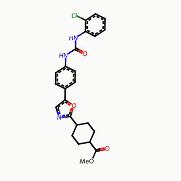 COC(=O)C1CCC(c2ncc(-c3ccc(NC(=O)Nc4ccccc4Cl)cc3)o2)CC1